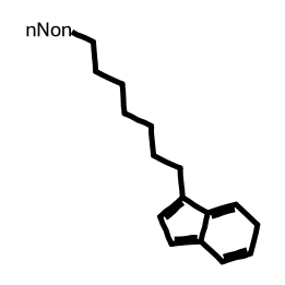 CCCCCCCCCCCCCCCCC1=CC=C2C=CCC=C21